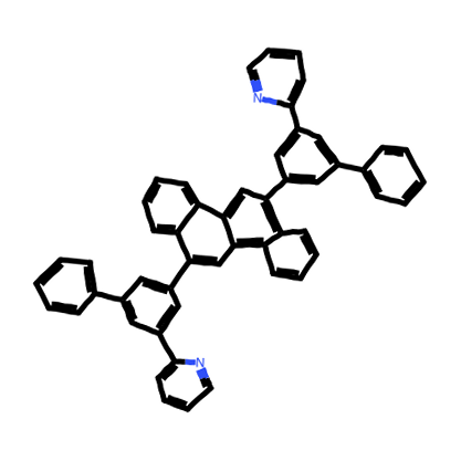 c1ccc(-c2cc(-c3ccccn3)cc(-c3cc4c5ccccc5c(-c5cc(-c6ccccc6)cc(-c6ccccn6)c5)cc4c4ccccc34)c2)cc1